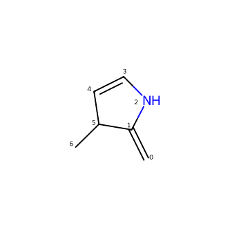 C=C1NC=CC1C